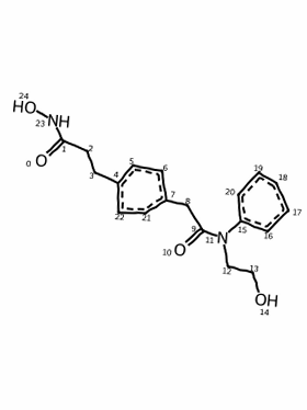 O=C(CCc1ccc(CC(=O)N(CCO)c2ccccc2)cc1)NO